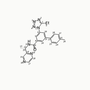 CCc1nnnn1-c1cc(C(=O)N[C@@H](C)c2cnccn2)cc(-c2ccc(C)cc2)c1